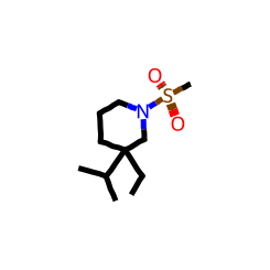 CCC1(C(C)C)CCCN(S(C)(=O)=O)C1